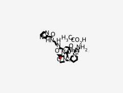 CC(=O)O.NN=CN1CCC[C@H](C[N+]2(CC(=O)N(C3CC3)[C@@H](CC(N)=O)C(=O)NCCNC(=O)c3cnccn3)CCOCC2)C1